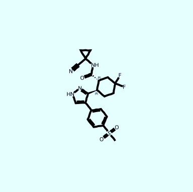 CS(=O)(=O)c1ccc(-c2c[nH]nc2[C@@H]2CCC(F)(F)C[C@H]2C(=O)NC2(C#N)CC2)cc1